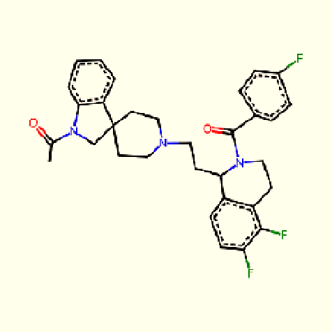 CC(=O)N1CC2(CCN(CCC3c4ccc(F)c(F)c4CCN3C(=O)c3ccc(F)cc3)CC2)c2ccccc21